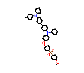 COc1ccc(S(=O)(=O)c2ccc(Oc3ccc(N(c4ccccc4)c4ccc(-c5ccc(N(c6ccccc6)c6ccc(C)cc6)cc5)cc4)cc3)cc2)cc1